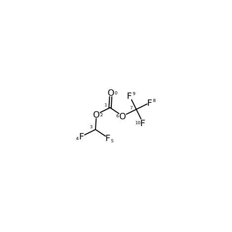 O=C(OC(F)F)OC(F)(F)F